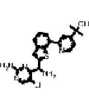 CC(C)(O)c1ccnc(-c2cccc3cc(C(N)c4nc(N)ncc4Cl)sc23)c1